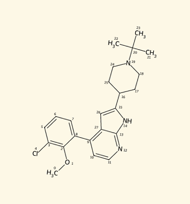 COc1c(Cl)cccc1-c1ccnc2[nH]c(C3CCN(C(C)(C)C)CC3)cc12